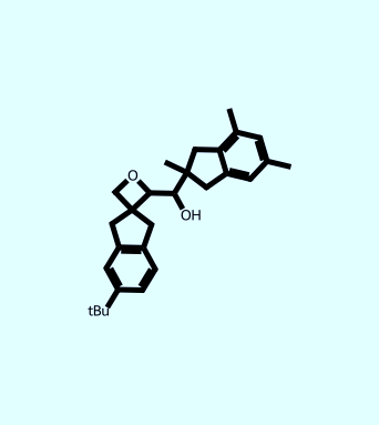 Cc1cc(C)c2c(c1)CC(C)(C(O)C1OCC13Cc1ccc(C(C)(C)C)cc1C3)C2